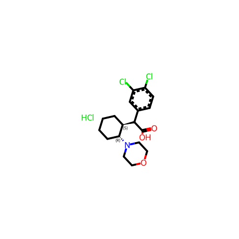 Cl.O=C(O)C(c1ccc(Cl)c(Cl)c1)[C@@H]1CCCC[C@H]1N1CCOCC1